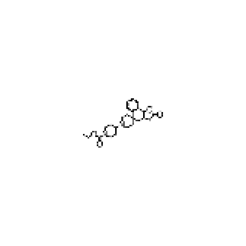 CCOC(=O)N1CCC(N2CCC3(CC2)CC2CC(=O)OC2c2ccccc23)CC1